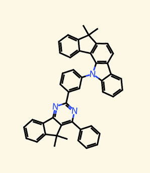 CC1(C)c2ccccc2-c2c1ccc1c3ccccc3n(-c3cccc(-c4nc(-c5ccccc5)c5c(n4)-c4ccccc4C5(C)C)c3)c21